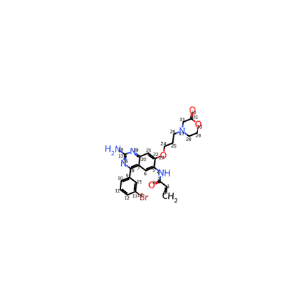 C=CC(=O)Nc1cc2c(-c3cccc(Br)c3)nc(N)nc2cc1OCCCN1CCOC(=O)C1